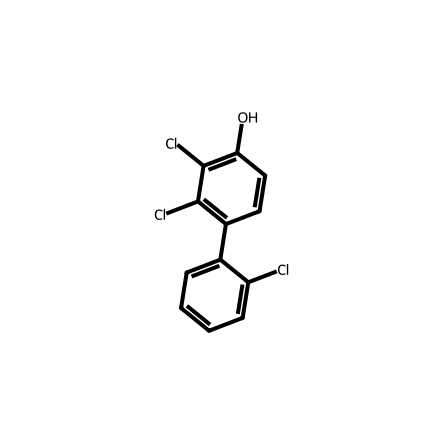 Oc1ccc(-c2ccccc2Cl)c(Cl)c1Cl